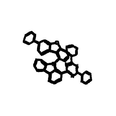 c1ccc(-c2ccc3c(c2)oc2cccc(-n4c5ccccc5c5cccc(-c6nc(-c7ccccc7)nc(-c7ccccc7)n6)c54)c23)cc1